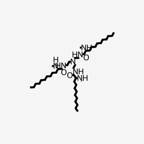 CCCCCCCCCCC(NC)C(=O)NCCN(CCNC(=O)C(CCCCCCCCCC)NC)CCNC(=O)C(CCCCCCCCCC)NC